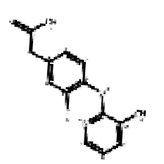 C=C(O)Cc1ccc(Oc2ncccc2C#N)c(F)c1